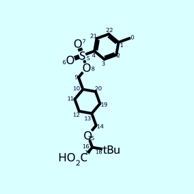 Cc1ccc(S(=O)(=O)OCC2CCC(COC(C(=O)O)C(C)(C)C)CC2)cc1